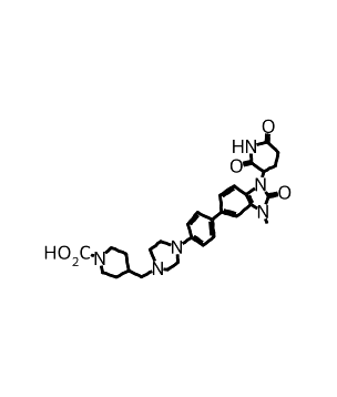 Cn1c(=O)n(C2CCC(=O)NC2=O)c2ccc(-c3ccc(N4CCN(CC5CCN(C(=O)O)CC5)CC4)cc3)cc21